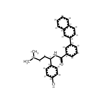 CN(C)CCC(NC(=O)c1cccc(-c2ccc3ccccc3c2)c1)c1ccc(Cl)cc1